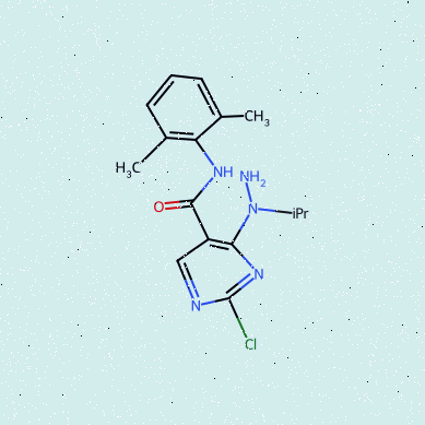 Cc1cccc(C)c1NC(=O)c1cnc(Cl)nc1N(N)C(C)C